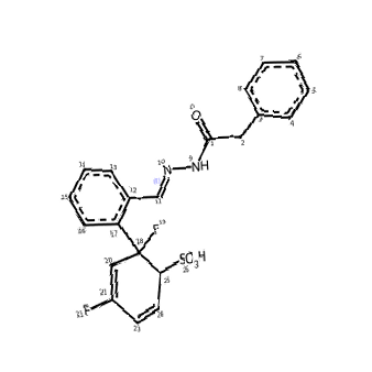 O=C(Cc1ccccc1)N/N=C/c1ccccc1C1(F)C=C(F)C=CC1S(=O)(=O)O